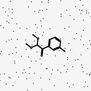 COC(OC)C(=O)c1cccc(C)c1